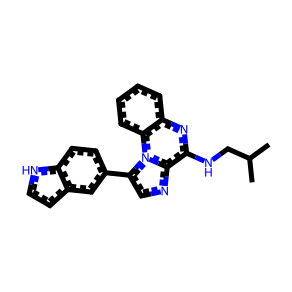 CC(C)CNc1nc2ccccc2n2c(-c3ccc4[nH]ccc4c3)cnc12